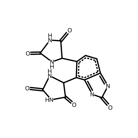 O=C1N=c2ccc(C3NC(=O)NC3=O)c(C3NC(=O)NC3=O)c2=N1